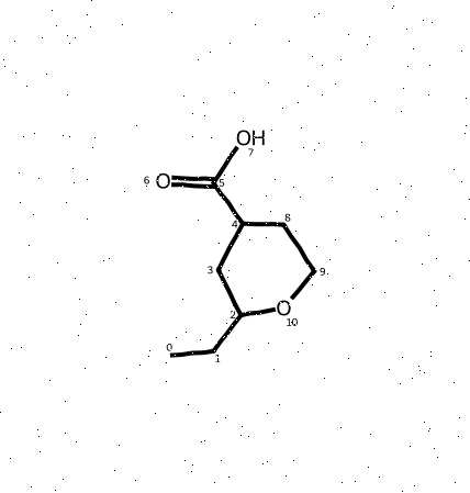 CCC1CC(C(=O)O)CCO1